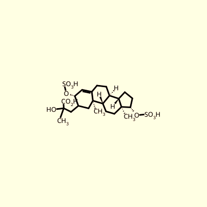 CC(O)(CC1C[C@@]2(C)C(=C[C@H]1OS(=O)(=O)O)CC[C@H]1[C@@H]3CC[C@H](OS(=O)(=O)O)[C@@]3(C)CC[C@@H]12)C(=O)O